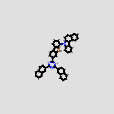 c1ccc2cc(-c3nc(-c4ccc5ccccc5c4)nc(-c4ccc5c(c4)sc4c(-n6c7ccccc7c7c8ccccc8ccc76)cccc45)n3)ccc2c1